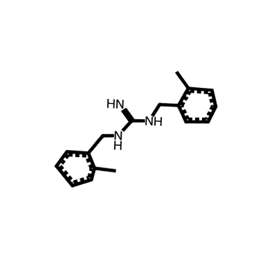 Cc1ccccc1CNC(=N)NCc1ccccc1C